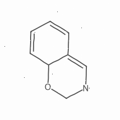 C1=CC2=C[N]COC2C=C1